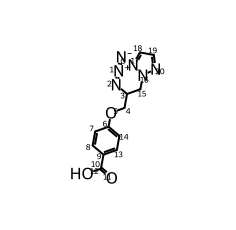 [N-]=[N+]=NC(COc1ccc(C(=O)O)cc1)Cn1nccn1